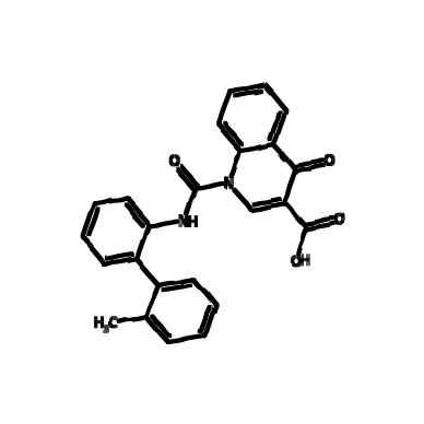 Cc1ccccc1-c1ccccc1NC(=O)n1cc(C(=O)O)c(=O)c2ccccc21